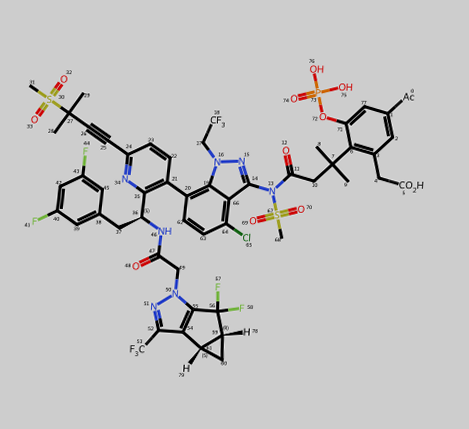 CC(=O)c1cc(CC(=O)O)c(C(C)(C)CC(=O)N(c2nn(CC(F)(F)F)c3c(-c4ccc(C#CC(C)(C)S(C)(=O)=O)nc4[C@H](Cc4cc(F)cc(F)c4)NC(=O)Cn4nc(C(F)(F)F)c5c4C(F)(F)[C@@H]4C[C@H]54)ccc(Cl)c23)S(C)(=O)=O)c(OP(=O)(O)O)c1